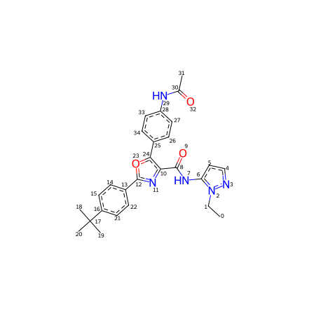 CCn1nccc1NC(=O)c1nc(-c2ccc(C(C)(C)C)cc2)oc1-c1ccc(NC(C)=O)cc1